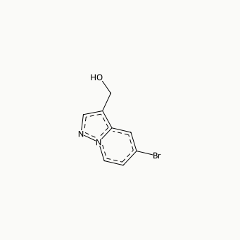 OCc1cnn2ccc(Br)cc12